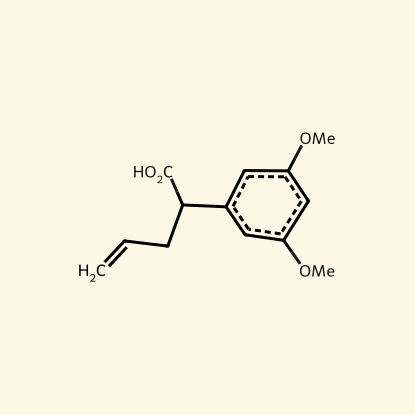 C=CCC(C(=O)O)c1cc(OC)cc(OC)c1